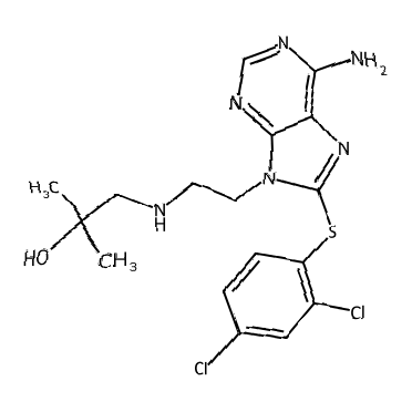 CC(C)(O)CNCCn1c(Sc2ccc(Cl)cc2Cl)nc2c(N)ncnc21